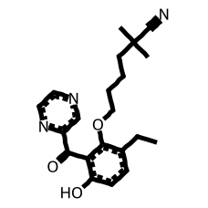 CCc1ccc(O)c(C(=O)c2cnccn2)c1OCCCCC(C)(C)C#N